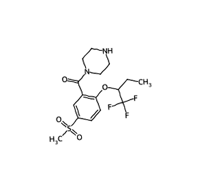 CCC(Oc1ccc(S(C)(=O)=O)cc1C(=O)N1CCNCC1)C(F)(F)F